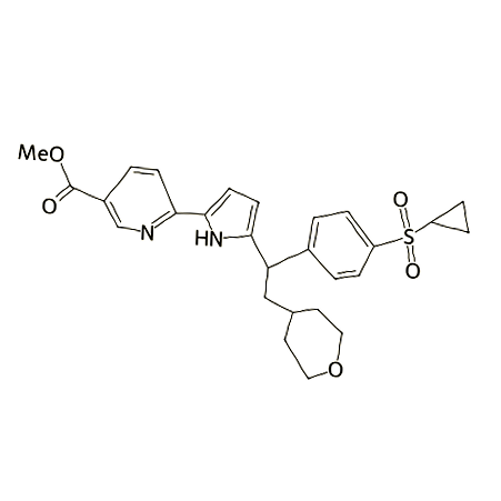 COC(=O)c1ccc(-c2ccc(C(CC3CCOCC3)c3ccc(S(=O)(=O)C4CC4)cc3)[nH]2)nc1